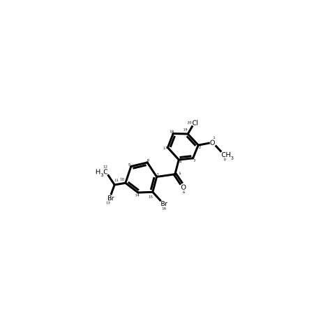 COc1cc(C(=O)c2ccc(C(C)Br)cc2Br)ccc1Cl